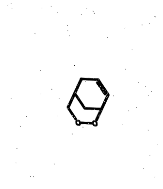 C1=CC2CC(C1)COO2